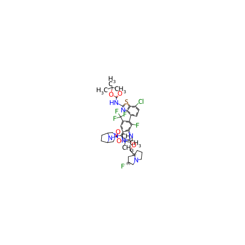 CC(C)(C)OC(=O)Nc1nc2c(-c3c(C(F)(F)F)cc4c(N5CC6CCC(C5)N6C(=O)OC(C)(C)C)nc(OC[C@@]56CCCN5C[C@H](F)C6)nc4c3F)ccc(Cl)c2s1